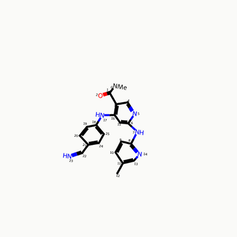 CNC(=O)c1cnc(Nc2ccc(C)cn2)cc1Nc1ccc(C=N)cc1